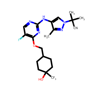 Cc1nn(C(C)(C)C#N)cc1Nc1ncc(F)c(OCC2CCC(O)(C(F)(F)F)CC2)n1